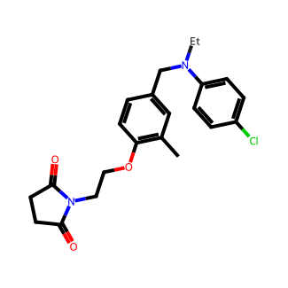 CCN(Cc1ccc(OCCN2C(=O)CCC2=O)c(C)c1)c1ccc(Cl)cc1